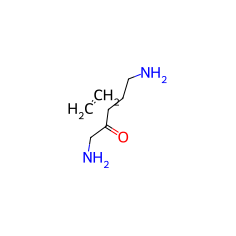 C=C.NCCCC(=O)CN